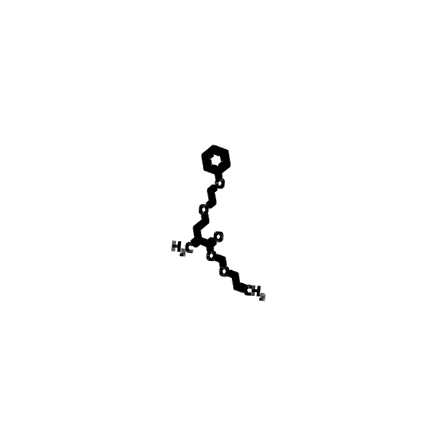 C=CCOCOC(=O)C(=C)CCOCCOc1ccccc1